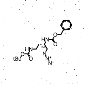 CC(C)(C)OC(=O)NCC[C@@H](CN=[N+]=[N-])NC(=O)OCc1ccccc1